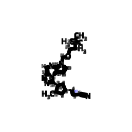 C[C@@H]1C[C@@H](/C=C/C#N)C[C@@H]1c1nnc2cnc3c(ccn3COCC[Si](C)(C)C)n12